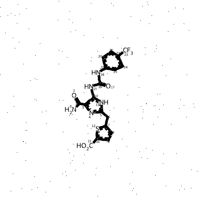 NC(=O)c1nc(Cc2ccc(C(=O)O)s2)[nH]c1NC(=O)Nc1ccc(C(F)(F)F)cc1